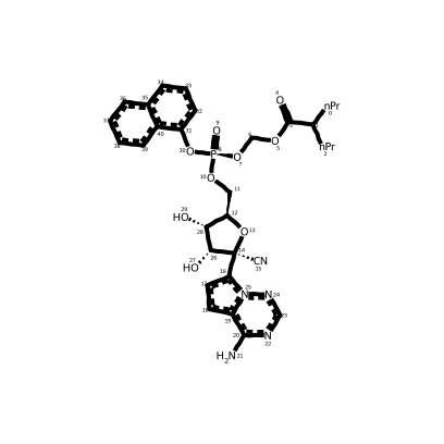 CCCC(CCC)C(=O)OCO[P@@](=O)(OC[C@H]1O[C@@](C#N)(c2ccc3c(N)ncnn23)[C@H](O)[C@@H]1O)Oc1cccc2ccccc12